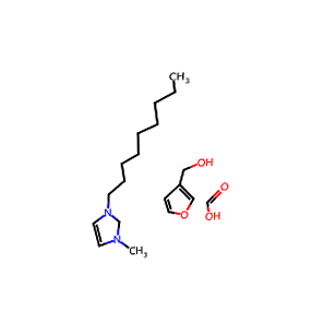 CCCCCCCCCN1C=CN(C)C1.O=CO.OCc1ccoc1